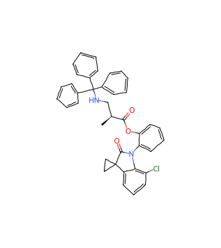 C[C@@H](CNC(c1ccccc1)(c1ccccc1)c1ccccc1)C(=O)Oc1ccccc1N1C(=O)C2(CC2)c2cccc(Cl)c21